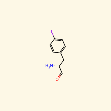 N[C@@H](C=O)Cc1ccc(I)cc1